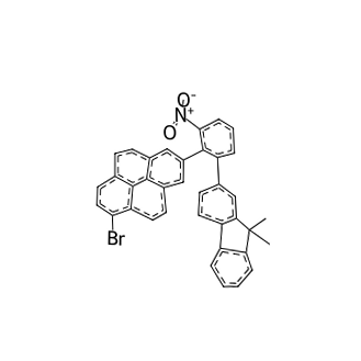 CC1(C)c2ccccc2-c2ccc(-c3cccc([N+](=O)[O-])c3-c3cc4ccc5ccc(Br)c6ccc(c3)c4c56)cc21